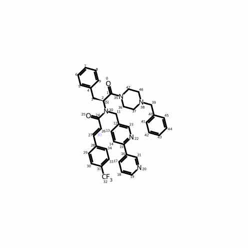 O=C([C@H](Cc1ccccc1)N(Cc1ccc(-c2cccnc2)nc1)C(=O)/C=C/c1ccc(C(F)(F)F)cc1)N1CCN(Cc2ccccc2)CC1